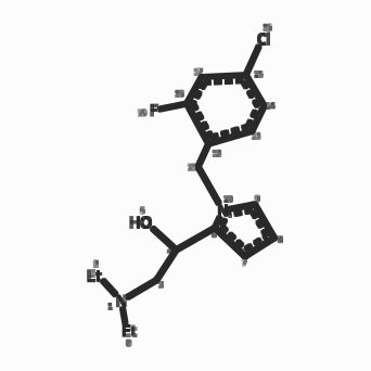 CCN(CC)CC(O)c1cccn1Cc1ccc(Cl)cc1F